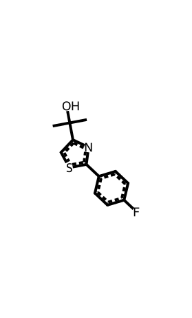 CC(C)(O)c1csc(-c2ccc(F)cc2)n1